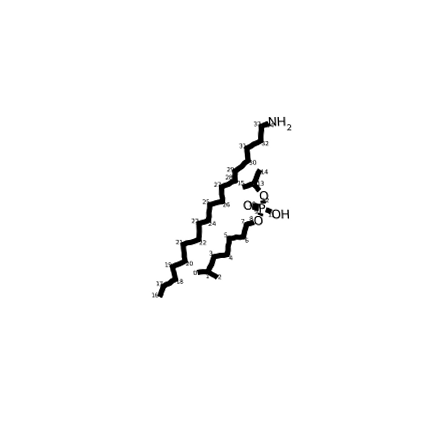 CC(C)CCCCCOP(=O)(O)OC(C)C.CCCCCCCCCCCCCCCCCCN